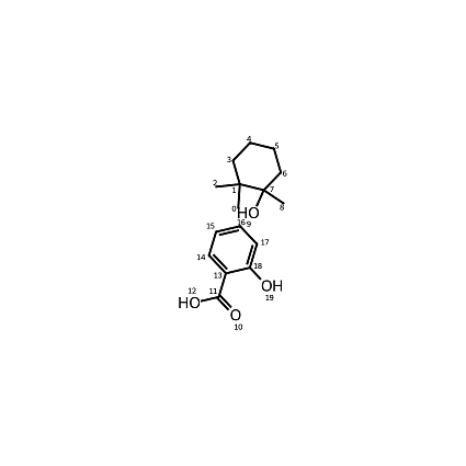 CC1(C)CCCCC1(C)O.O=C(O)c1ccccc1O